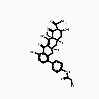 NC(=O)C1C(=O)[C@@]2(O)C(O)=C3C(=O)c4c(O)ccc(-c5ccc(NC(=O)CCl)cc5)c4C[C@H]3C[C@H]2CC1O